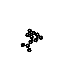 c1ccc(-c2cc(-c3ccccc3)cc(-c3ccc(N(c4ccc(C5(c6ccccc6)c6ccccc6-c6ccccc65)cc4)c4cccc(-n5c6ccccc6c6ccccc65)c4)cc3)c2)cc1